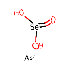 O=[Se](O)O.[As]